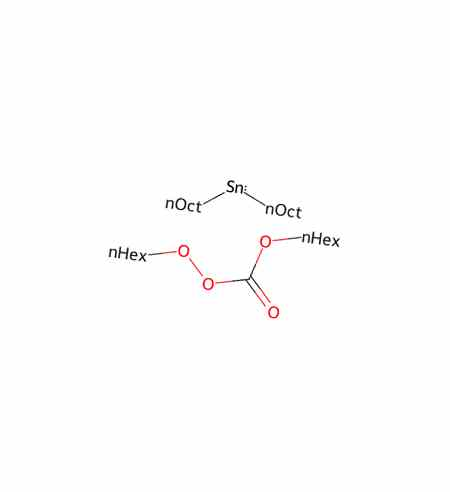 CCCCCCC[CH2][Sn][CH2]CCCCCCC.CCCCCCOOC(=O)OCCCCCC